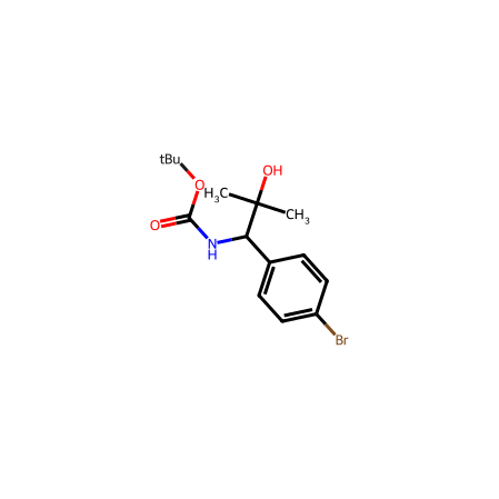 CC(C)(C)OC(=O)NC(c1ccc(Br)cc1)C(C)(C)O